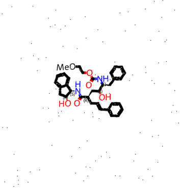 COCCOC(=O)N[C@@H](Cc1ccccc1)[C@@H](O)C[C@@H](CC=Cc1ccccc1)C(=O)N[C@H]1c2ccccc2C[C@H]1O